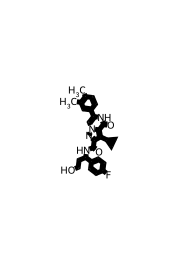 Cc1ccc(-c2cn3nc(C(=O)NC(CCO)c4ccc(F)cc4)c(C4CC4)c3c(=O)[nH]2)cc1C